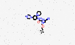 CN1CCN(c2ccc(NC(=O)c3nc(C#N)cn3COCC[Si](C)(C)C)c(N3CCCCC3)c2)CC1